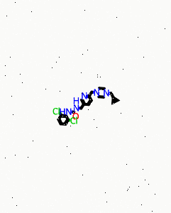 O=C(NCc1ccc(CN2CCN(CC3CC3)CC2)nc1)Nc1c(Cl)cccc1Cl